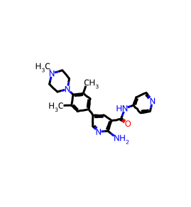 Cc1cc(-c2cnc(N)c(C(=O)Nc3ccncc3)c2)cc(C)c1N1CCN(C)CC1